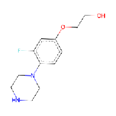 OCCOc1ccc(N2CCNCC2)c(F)c1